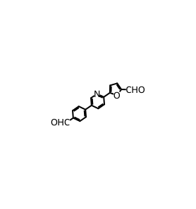 O=Cc1ccc(-c2ccc(-c3ccc(C=O)o3)nc2)cc1